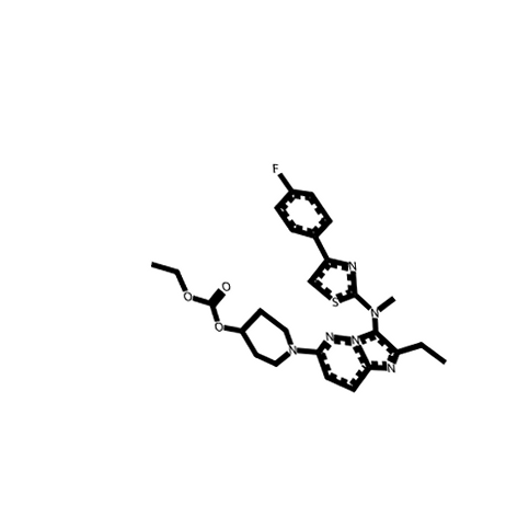 CCOC(=O)OC1CCN(c2ccc3nc(CC)c(N(C)c4nc(-c5ccc(F)cc5)cs4)n3n2)CC1